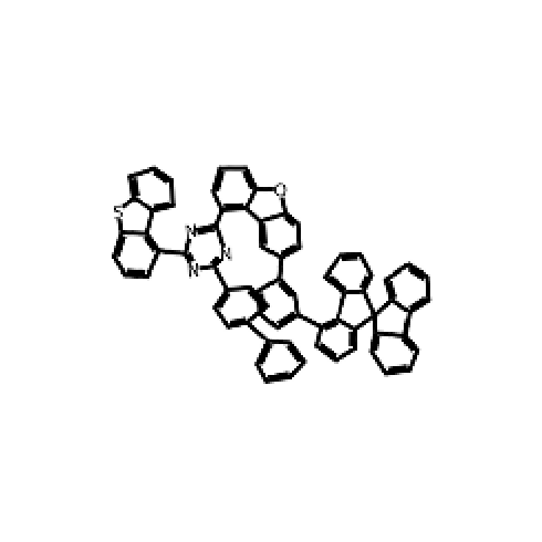 c1ccc(-c2ccc(-c3nc(-c4cccc5oc6ccc(-c7cccc(-c8cccc9c8-c8ccccc8C98c9ccccc9-c9ccccc98)c7)cc6c45)nc(-c4cccc5sc6ccccc6c45)n3)cc2)cc1